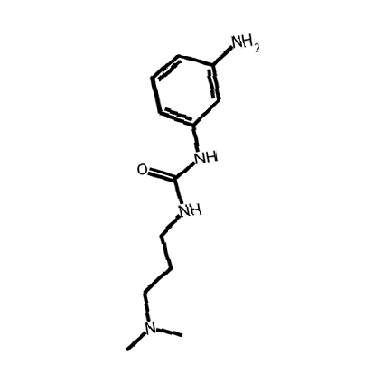 CN(C)CCCNC(=O)Nc1cccc(N)c1